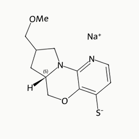 COCC1C[C@H]2COc3c([S-])ccnc3N2C1.[Na+]